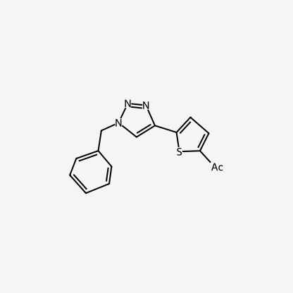 CC(=O)c1ccc(-c2cn(Cc3ccccc3)nn2)s1